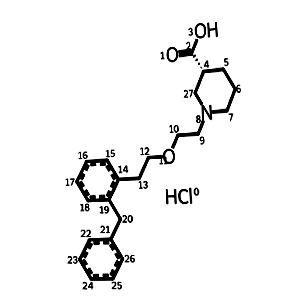 Cl.O=C(O)[C@@H]1CCCN(CCOCCc2ccccc2Cc2ccccc2)C1